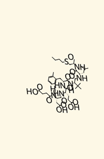 CCCCSC[C@@H](C=O)NC(=O)[C@H](CC(C)C)NC(=O)[C@@H](NC(=O)[C@H](Cc1ccccc1C)NC(=O)[C@H](CCC(=O)O)NC(=O)[C@H](CC(=O)O)NC(=O)CCC(=O)O)C(C)(C)C